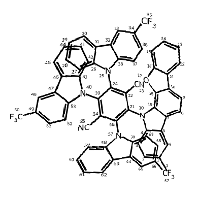 Cc1ccc2c(c1)c1ccc3c4ccccc4oc3c1n2-c1c(C#N)c(-n2c3ccccc3c3cc(C(F)(F)F)ccc32)c(-n2c3ccccc3c3cc(C(F)(F)F)ccc32)c(C#N)c1-n1c2ccccc2c2cc(C(F)(F)F)ccc21